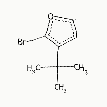 CC(C)(C)c1c[c]oc1Br